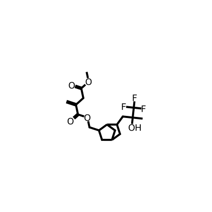 C=C(CC(=O)OC)C(=O)OCC1CC2CC(CC(C)(O)C(F)(F)F)C1C2